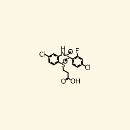 O=C(O)CCSc1ccc(Cl)cc1NS(=O)(=O)c1ccc(Cl)cc1F